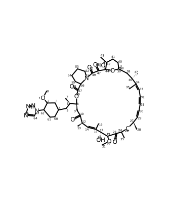 COC1CC(C[C@@H](C)[C@@H]2CC(=O)[C@H](C)/C=C(\C)[C@@H](O)C(OC)C(=O)C(C)C[C@H](C)/C=C/C=C/C=C(\C)[C@@H](C)C[C@@H]3CCC(C)C(O)(O3)C(=O)C(=O)N3CCCCC3C(=O)O2)CCC1n1cnnn1